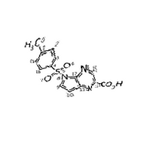 Cc1ccc(S(=O)(=O)n2ccc3nc(C(=O)O)cnc32)cc1